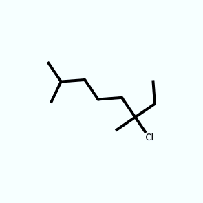 CCC(C)(Cl)CCCC(C)C